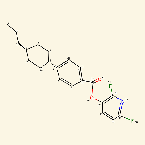 CCC[C@H]1CC[C@H](c2ccc(C(=O)Oc3ccc(F)nc3F)cc2)CC1